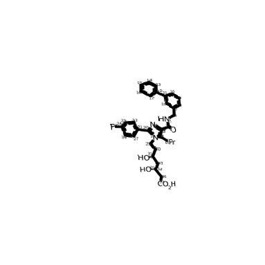 CC(C)c1c(C(=O)NCc2cccc(-c3ccccc3)c2)nc(-c2ccc(F)cc2)n1CC[C@@H](O)C[C@@H](O)CC(=O)O